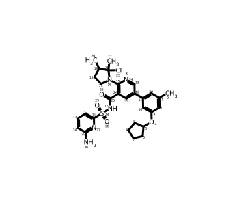 Cc1cc(OC2CCCC2)cc(-c2cnc(N3CCC(C)C3(C)C)c(C(=O)NS(=O)(=O)c3cccc(N)n3)c2)c1